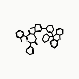 C=C1C(c2ccccc2C)=NC(C2=CCCC=C2)C(=C)CC1C1=CC(C2C=C(C3(C4CCCCC4)c4ccccc4OC4C=CC=CC43)CCC2)=CCC1C